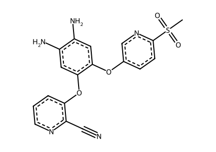 CS(=O)(=O)c1ccc(Oc2cc(N)c(N)cc2Oc2cccnc2C#N)cn1